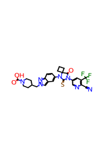 N#Cc1ncc(N2C(=O)C3(CCC3)N(c3ccc4nn(CC5CCN(C(=O)O)CC5)cc4c3)C2=S)cc1C(F)(F)F